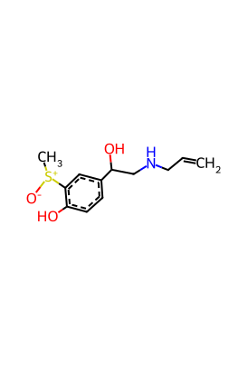 C=CCNCC(O)c1ccc(O)c([S+](C)[O-])c1